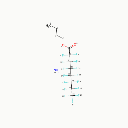 CCCCOC(=O)C(F)(F)C(F)(F)C(F)(F)C(F)(F)C(F)(F)C(F)(F)C(F)(F)F.N